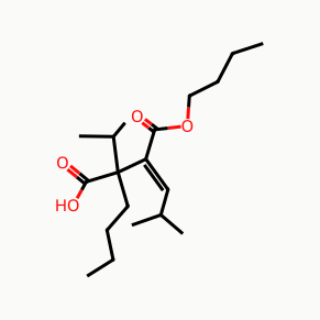 CCCCOC(=O)C(=CC(C)C)C(CCCC)(C(=O)O)C(C)C